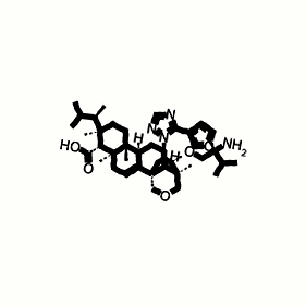 CC(C)[C@@H](C)[C@@]1(C)CC[C@]2(C)[C@H]3CC[C@@H]4[C@@]5(COC[C@]4(C)[C@@H](OC[C@](C)(N)C(C)C)[C@H](n4ncnc4-c4ccoc4)C5)C3=CC[C@@]2(C)[C@@H]1C(=O)O